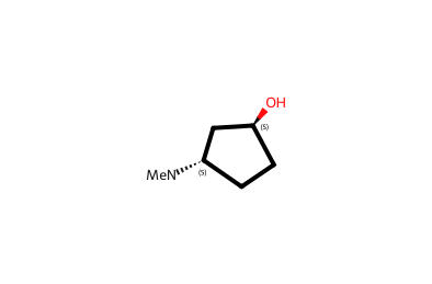 CN[C@H]1CC[C@H](O)C1